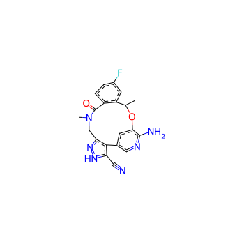 CC1Oc2cc(cnc2N)-c2c(n[nH]c2C#N)CN(C)C(=O)c2ccc(F)cc21